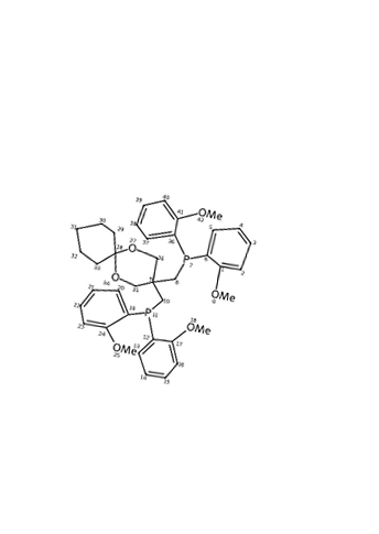 COc1ccccc1P(CC1(CP(c2ccccc2OC)c2ccccc2OC)COC2(CCCCC2)OC1)c1ccccc1OC